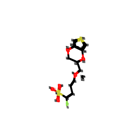 O=S(=O)([O-])C(F)CCCOCC1COc2cscc2O1.[K+]